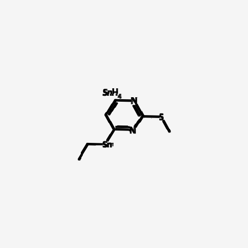 C[CH2][Sn][c]1ccnc(SC)n1.[SnH4]